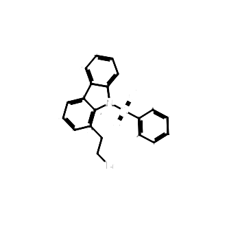 O=S(=O)(c1ccccc1)n1c2ccccc2c2cccc(CCBr)c21